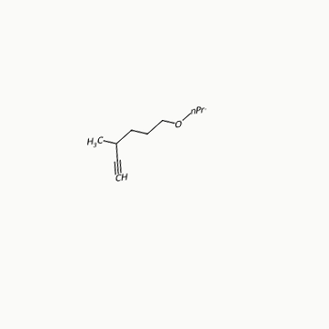 C#CC(C)CCCO[CH]CC